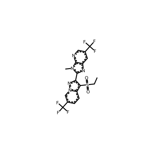 CCS(=O)(=O)c1c(-c2nc3cc(C(F)(F)F)cnc3n2C)nn2cc(C(F)(F)F)ccc12